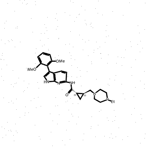 CCN1CCN(C[C@H]2C[C@@H]2C(=O)Nc2ccc3c(-c4c(OC)cccc4OC)c[nH]c3n2)CC1